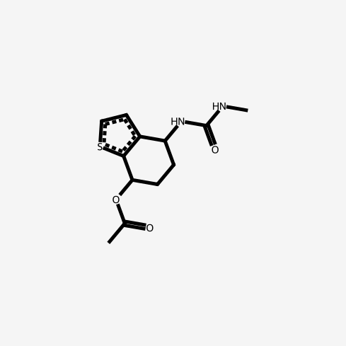 CNC(=O)NC1CCC(OC(C)=O)c2sccc21